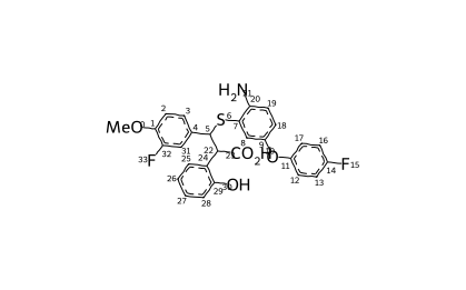 COc1ccc(C(Sc2cc(Oc3ccc(F)cc3)ccc2N)C(C(=O)O)c2ccccc2O)cc1F